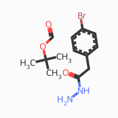 CC(C)(C)OC=O.NNC(=O)Cc1ccc(Br)cc1